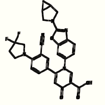 N#Cc1cc(-c2cc(=O)c(C(=O)O)cn2-c2ccc3nc(N4CC5CC5C4)oc3c2)ccc1N1CCC(F)(F)C1